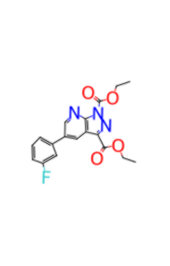 CCOC(=O)c1nn(C(=O)OCC)c2ncc(-c3cccc(F)c3)cc12